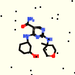 CC1(Nc2ncc(C(N)=O)c(N[C@@H]3CCCC(O)C3)n2)CCOCC1